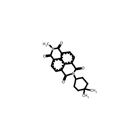 CN1C(=O)c2ccc3c4c(ccc(c24)C1=O)C(=O)N(C1CCC(C)(C)CC1)C3=O